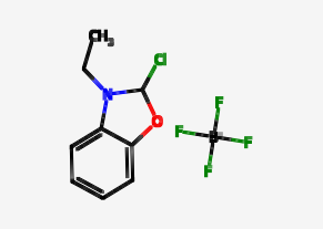 CCN1c2ccccc2OC1Cl.F[B-](F)(F)F